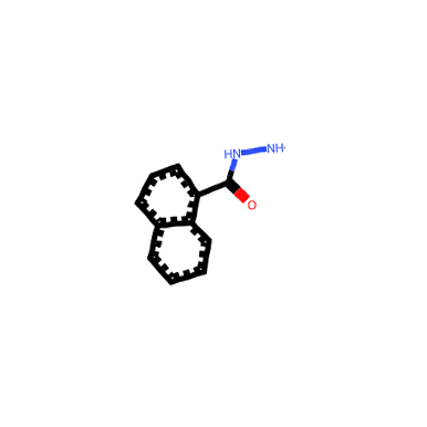 [NH]NC(=O)c1cccc2ccccc12